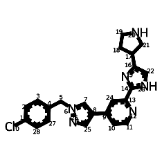 Clc1ccc(Cn2cc(-c3ccnc(-c4nc(C5CCNC5)c[nH]4)c3)cn2)cc1